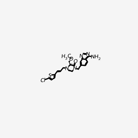 COC[C@H]1C(=O)N(Cc2ccc3c(N)ncnc3c2)CCN1CC=Cc1ccc(Cl)s1